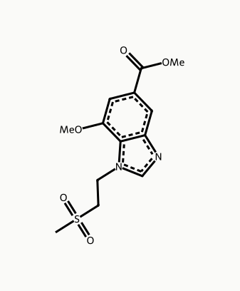 COC(=O)c1cc(OC)c2c(c1)ncn2CCS(C)(=O)=O